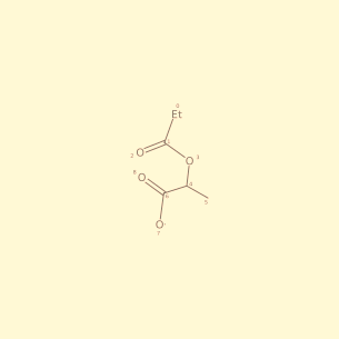 CCC(=O)OC(C)C([O])=O